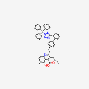 CCCCc1c(CCc2ccc(-c3ccccc3-c3nnn(C(c4ccccc4)(c4ccccc4)c4ccccc4)n3)cc2)nc2ccc(C)cc2c1C(=O)O